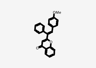 COc1ccc(C=C(c2ccccc2)c2cc(=O)c3ccccc3o2)cc1